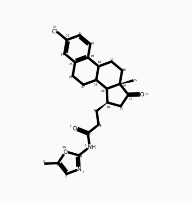 Cc1cnc(NC(=O)CC[C@@H]2CC(=O)[C@@]3(C)CCC4c5ccc(Cl)cc5CCC4C23)o1